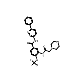 O=C(CN1CCOCC1)Nc1cc(C(=O)Nc2ccc(-c3ccccc3)nn2)ccc1OC(F)(F)F